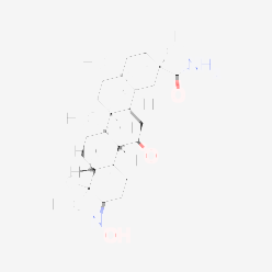 CC1(C)C(=NO)CC[C@]2(C)[C@H]3C(=O)C=C4[C@@H]5C[C@@](C)(C(N)=O)CC[C@]5(C)CC[C@@]4(C)[C@]3(C)CC[C@@H]12